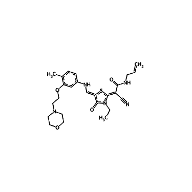 C=CCNC(=O)C(C#N)=c1sc(=CNc2ccc(C)c(OCCN3CCOCC3)c2)c(=O)n1CC